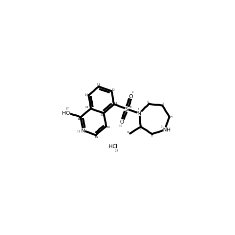 CC1CNCCCN1S(=O)(=O)c1cccc2c(O)nccc12.Cl